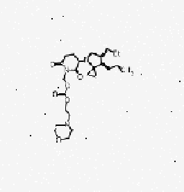 C=C/C=C1\C(=C/CC)CN(C2CCC(=O)N(COC(=O)OCCN3CCOCC3)C2=O)C12CC2